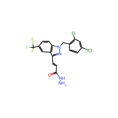 NNC(=O)C=Cc1nn(Cc2ccc(Cl)cc2Cl)c2ccc(C(F)(F)F)cc12